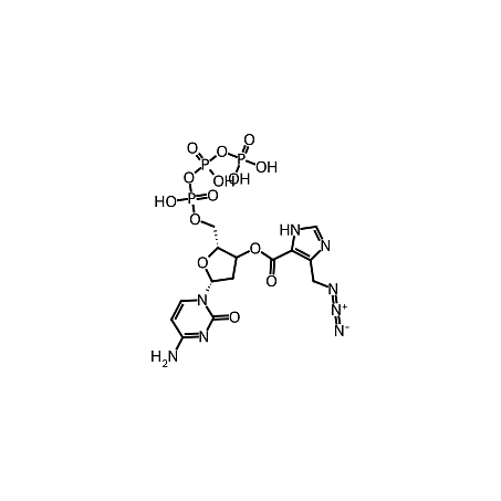 [N-]=[N+]=NCc1nc[nH]c1C(=O)OC1C[C@H](n2ccc(N)nc2=O)O[C@@H]1COP(=O)(O)OP(=O)(O)OP(=O)(O)O